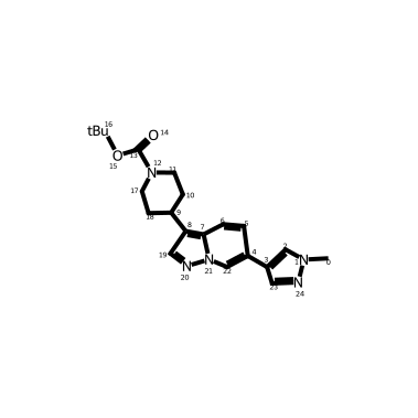 Cn1cc(-c2ccc3c(C4CCN(C(=O)OC(C)(C)C)CC4)cnn3c2)cn1